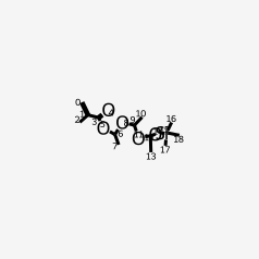 C=C(C)C(=O)OC(C)OC(C)OC(C)O[Si](C)(C)C